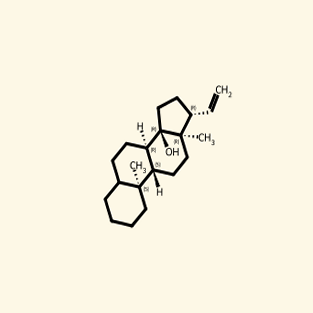 C=C[C@H]1CC[C@@]2(O)[C@@H]3CCC4CCCC[C@]4(C)[C@H]3CC[C@]12C